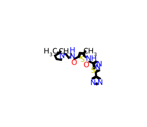 Cc1cc(C(=O)NCCN2CCCC2(C)C)sc1NC(=O)c1cnn2cc(-c3cncnc3)sc12